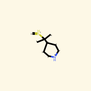 C=[SH]C(C)(C)C1CCNCC1